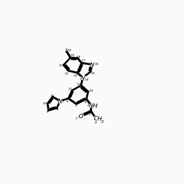 CC(=O)Nc1cc(-n2cccc2)cc(-n2cnc3cc(I)ccc32)c1